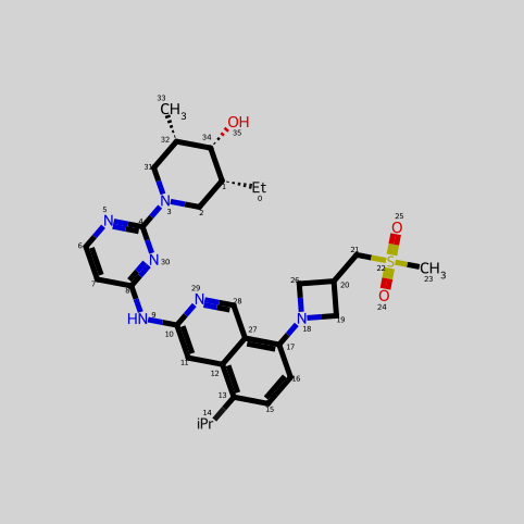 CC[C@@H]1CN(c2nccc(Nc3cc4c(C(C)C)ccc(N5CC(CS(C)(=O)=O)C5)c4cn3)n2)C[C@H](C)[C@@H]1O